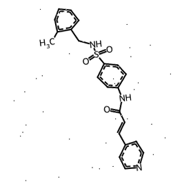 Cc1ccccc1CNS(=O)(=O)c1ccc(NC(=O)/C=C/c2ccncc2)cc1